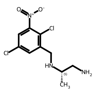 C[C@@H](CN)NCc1cc(Cl)cc([N+](=O)[O-])c1Cl